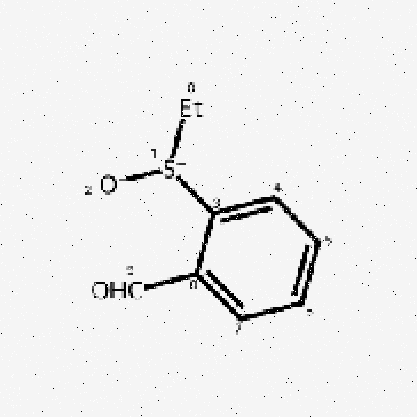 CC[S+]([O-])c1ccccc1C=O